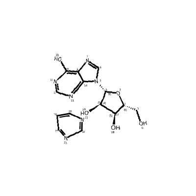 OC[C@H]1O[C@@H](n2cnc3c(O)ncnc32)[C@H](O)[C@@H]1O.c1cncnc1